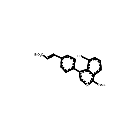 CCOC(=O)/C=C/c1ccc(-c2cnc(OC)c3cccc(O)c23)cc1